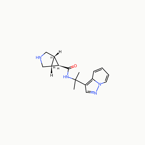 CC(C)(NC(=O)[C@H]1[C@@H]2CNC[C@@H]21)c1cnn2ccccc12